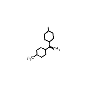 C=C(C1CCC(C)CC1)C1CCC(I)CC1